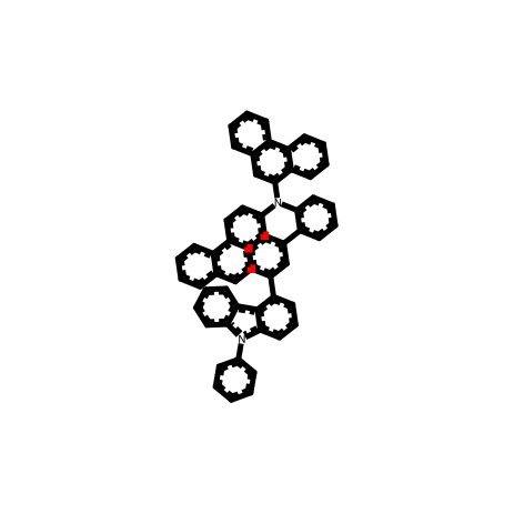 c1ccc(-n2c3ccccc3c3c(-c4cccc(-c5ccccc5N(c5ccc6c(ccc7ccccc76)c5)c5cc6ccccc6c6ccccc56)c4)cccc32)cc1